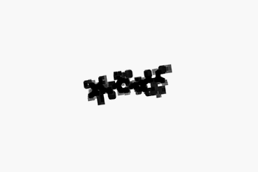 COC1CN(c2nc(C(=O)NC(C)CO)c(C(=O)O)s2)CCC1NC(=O)c1[nH]c(C)c(Cl)c1Cl